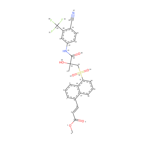 COC(=O)C=Cc1cccc2c(S(=O)(=O)CC(C)(O)C(=O)Nc3ccc(C#N)c(C(F)(F)F)c3)cccc12